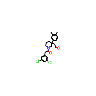 Cc1ccc(C2(CC=O)CCCN(C(=O)Cc3cc(Cl)cc(Cl)c3)C2)cc1C